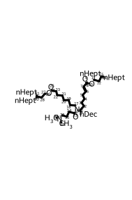 CCCCCCCCCCC(CCCCC=CC(=O)OCCC(CCCCCCC)CCCCCCC)N(CCCCCCCC(=O)OCCC(CCCCCCC)CCCCCCC)C(=O)CCCN(C)C